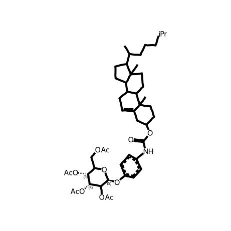 CC(=O)OCC1O[C@@H](Oc2ccc(NC(=O)OC3CCC4(C)C(=CCC5C4CCC4(C)C(C(C)CCCC(C)C)CCC54)C3)cc2)C(OC(C)=O)[C@H](OC(C)=O)[C@@H]1OC(C)=O